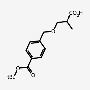 C[C@@H](COCc1ccc(C(=O)OC(C)(C)C)cc1)C(=O)O